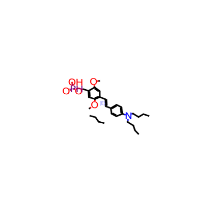 CCCC.CCCCN(CCCC)c1ccc(/C=C/c2cc(OC)c(CO[PH](=O)O)cc2OC)cc1